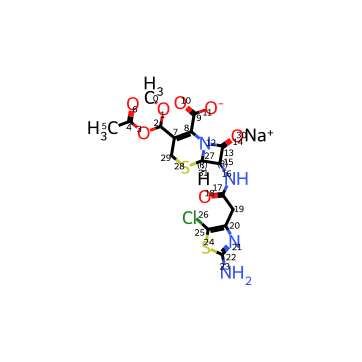 COC(OC(C)=O)C1=C(C(=O)[O-])N2C(=O)[C@@H](NC(=O)Cc3nc(N)sc3Cl)[C@H]2SC1.[Na+]